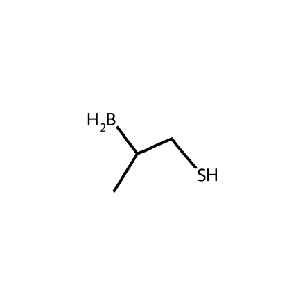 BC(C)CS